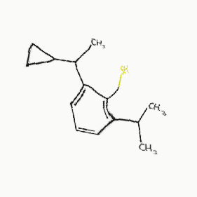 CC(C)c1cccc(C(C)C2CC2)c1S